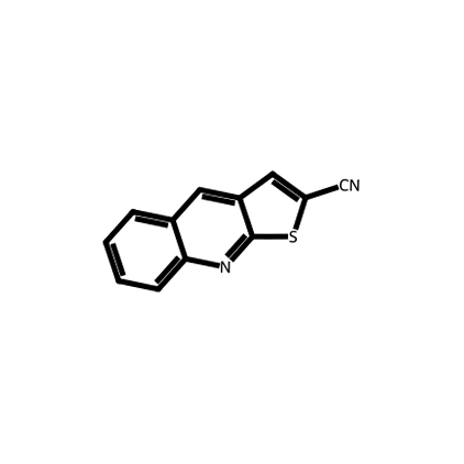 N#Cc1cc2cc3ccccc3nc2s1